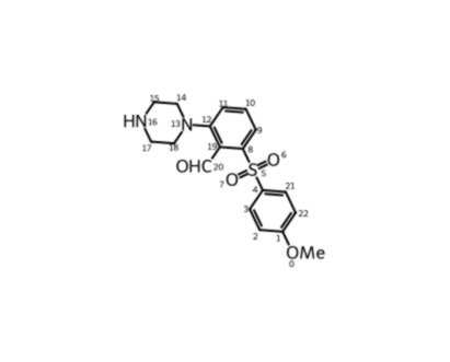 COc1ccc(S(=O)(=O)c2cccc(N3CCNCC3)c2C=O)cc1